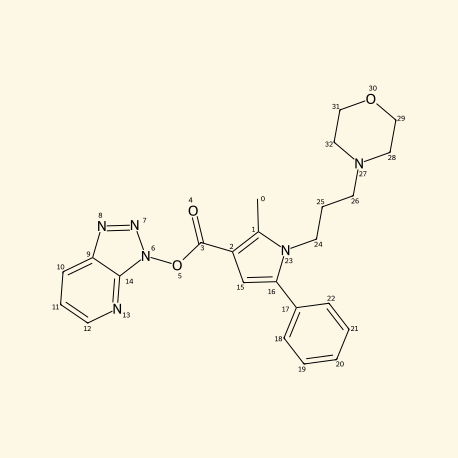 Cc1c(C(=O)On2nnc3cccnc32)cc(-c2ccccc2)n1CCCN1CCOCC1